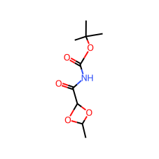 CC1OC(C(=O)NC(=O)OC(C)(C)C)O1